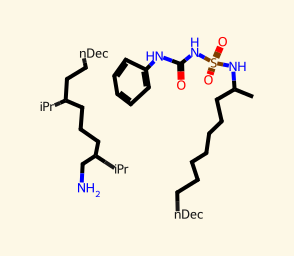 CCCCCCCCCCCCC(CCCC(CN)C(C)C)C(C)C.CCCCCCCCCCCCCCCCCC(C)NS(=O)(=O)NC(=O)Nc1ccccc1